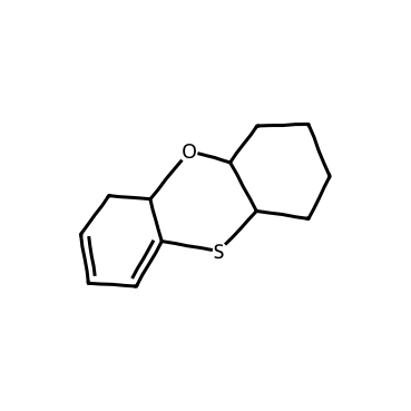 C1=CCC2OC3CCCCC3SC2=C1